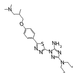 C=CCN(CC=C)c1nc(N)n(-c2nnc(-c3ccc(OCC(C)CN(C)C)cc3)s2)n1